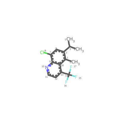 Cc1c(C(C)C)cc(Cl)c2nccc(C(F)(F)F)c12